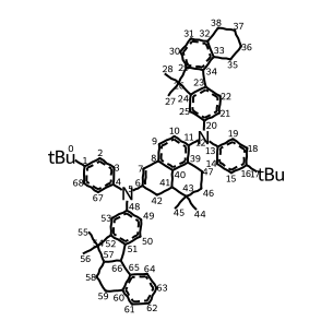 CC(C)(C)c1ccc(N(C2=Cc3ccc(N(c4ccc(C(C)(C)C)cc4)c4ccc5c(c4)C(C)(C)c4ccc6c(c4-5)CCCC6)c4c3C(C2)C(C)(C)CC4)c2ccc3c(c2)C(C)(C)C2CCc4ccccc4C32)cc1